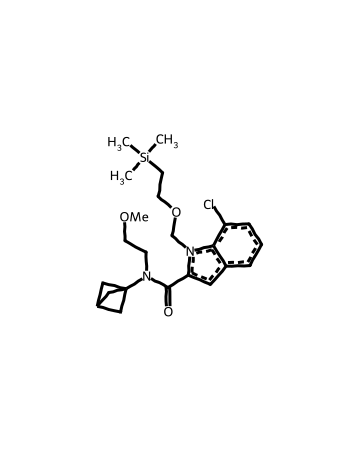 COCCN(C(=O)c1cc2cccc(Cl)c2n1COCC[Si](C)(C)C)C12CC(C1)C2